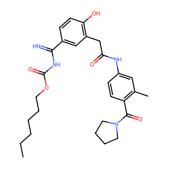 CCCCCCOC(=O)NC(=N)c1ccc(O)c(CC(=O)Nc2ccc(C(=O)N3CCCC3)c(C)c2)c1